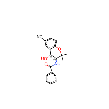 CC1(C)Oc2ccc(C#N)cc2[C@@H](O)[C@@H]1NC(=O)c1ccccc1